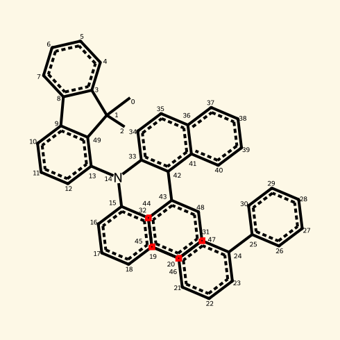 CC1(C)c2ccccc2-c2cccc(N(c3cccc(-c4cccc(-c5ccccc5)c4)c3)c3ccc4ccccc4c3-c3ccccc3)c21